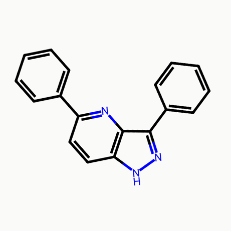 c1ccc(-c2ccc3[nH]nc(-c4ccccc4)c3n2)cc1